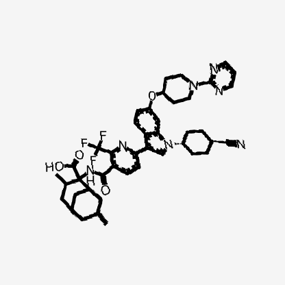 CC1CC2CC(C)C(NC(=O)c3ccc(-c4cn([C@H]5CC[C@H](C#N)CC5)c5cc(OC6CCN(c7ncccn7)CC6)ccc45)nc3C(F)(F)F)(C(=O)O)C(C1)C2